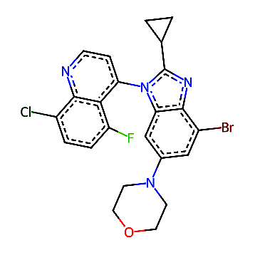 Fc1ccc(Cl)c2nccc(-n3c(C4CC4)nc4c(Br)cc(N5CCOCC5)cc43)c12